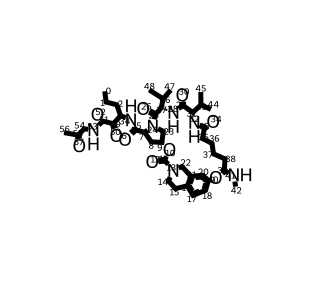 CCCC(NC(=O)C1C[C@@H](OC(=O)N2CCc3ccccc3C2)CN1C(=O)[C@@H](NC(=O)[C@@H](NC(=O)CCCCC(=O)NC)C(C)C)C(C)C)C(=O)C(=O)NCC(C)=O